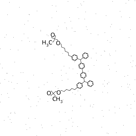 CCC1(COCCCCCCc2ccc(C(c3ccccc3)c3ccc(-c4ccc(C(c5ccccc5)c5ccc(CCCCCCOCC6(CC)COC6)cc5)cc4)cc3)cc2)COC1